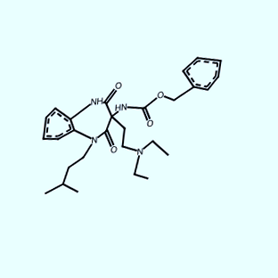 CCN(CC)CCC1(NC(=O)OCc2ccccc2)C(=O)Nc2ccccc2N(CCC(C)C)C1=O